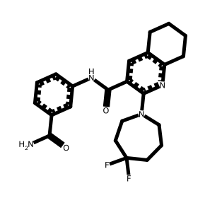 NC(=O)c1cccc(NC(=O)c2cc3c(nc2N2CCCC(F)(F)CC2)CCCC3)c1